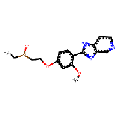 CC[S+]([O-])CCOc1ccc(-c2nc3cnccc3[nH]2)c(OC)c1